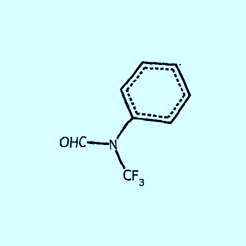 O=CN(c1cc[c]cc1)C(F)(F)F